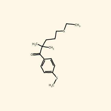 CCSCCCC(C)(C)C(=O)c1ccc(SC)cc1